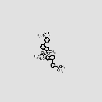 CC[CH](C)[Zr]([Cl])([Cl])([CH]1C(C)=Cc2c(-c3cccc(N(C)C)c3)cccc21)[CH]1C(C)=Cc2c(-c3cccc(N(C)C)c3)cccc21